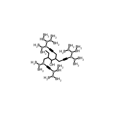 BBB(C#CB(CC(CC)C(O)C(CC#CB(B(B)B)B(BB)B(B)B)CC#CB(B(B)B)B(BB)B(B)B)B(B)B)B(B)B